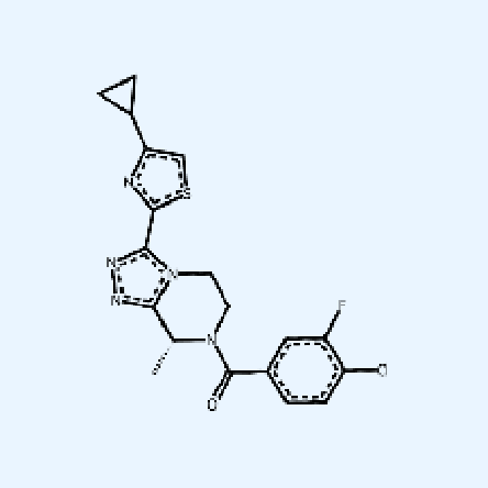 C[C@@H]1c2nnc(-c3nc(C4CC4)cs3)n2CCN1C(=O)c1ccc(Cl)c(F)c1